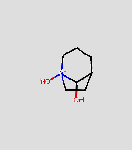 OC1C2CCC[N+]1(O)CC2